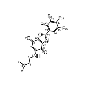 CN(C)CCNC1=CC(=O)c2oc(-c3cc(F)c(F)c(F)c3F)nc2C1=O